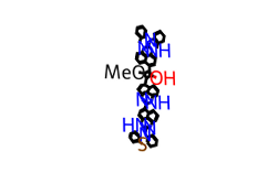 COC1C(c2ccc3c4c(cccc24)N=C(N(C2=C(C)CCC=C2)c2ccccc2C)N3)=C(O)C1C1C=CC2=C3C(=CC=CC31)NC(c1ccc3c4c(cccc14)N=C(N1C4=C(CCC=C4)Sc4ccccc41)N3)=N2